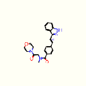 CN(CC(=O)N1CCOCC1)C(=O)c1ccc(/C=C/c2n[nH]c3ccccc23)cc1